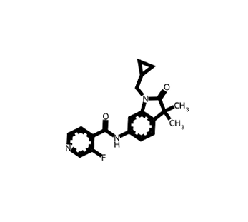 CC1(C)C(=O)N(CC2CC2)c2cc(NC(=O)c3ccncc3F)ccc21